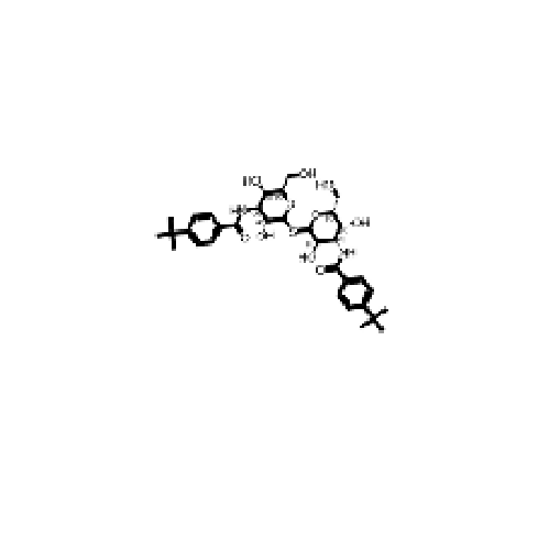 CC(C)(C)c1ccc(C(=O)N[C@H]2[C@@H](O)[C@@H](CO)OC(SC3O[C@H](CO)[C@H](O)[C@H](NC(=O)c4ccc(C(C)(C)C)cc4)[C@H]3O)[C@@H]2O)cc1